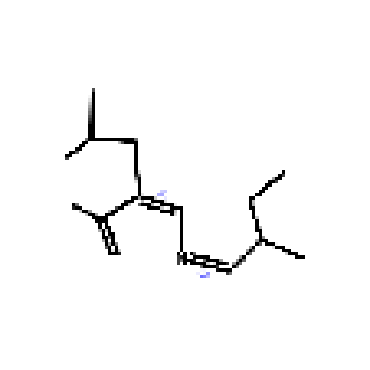 C=C(C)/C(=C\N=C/C(C)CC)CC(C)C